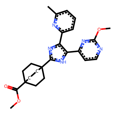 COC(=O)C12CCC(c3nc(-c4cccc(C)n4)c(-c4ccnc(OC)n4)[nH]3)(CC1)CC2